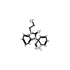 C=CC1(n2c(=O)n(CCCl)c3ccccc32)C=CC=CC1